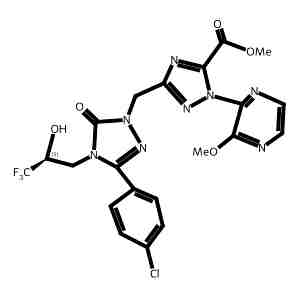 COC(=O)c1nc(Cn2nc(-c3ccc(Cl)cc3)n(C[C@H](O)C(F)(F)F)c2=O)nn1-c1nccnc1OC